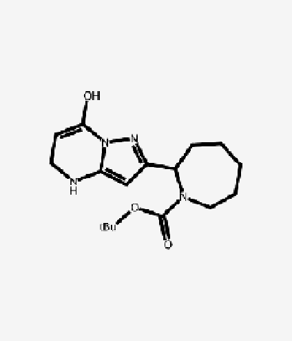 CC(C)(C)OC(=O)N1CCCCCC1c1cc2n(n1)C(O)=CCN2